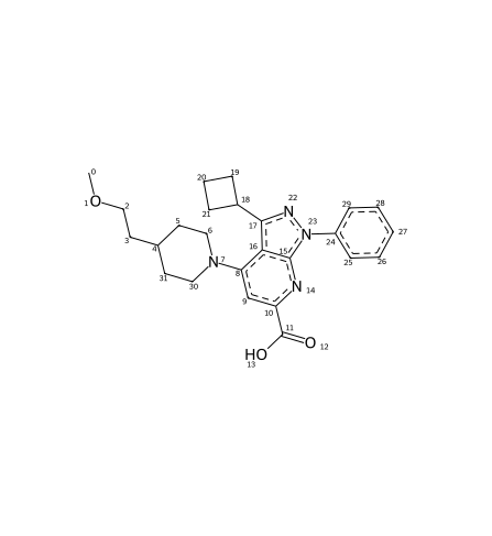 COCCC1CCN(c2cc(C(=O)O)nc3c2c(C2CCC2)nn3-c2ccccc2)CC1